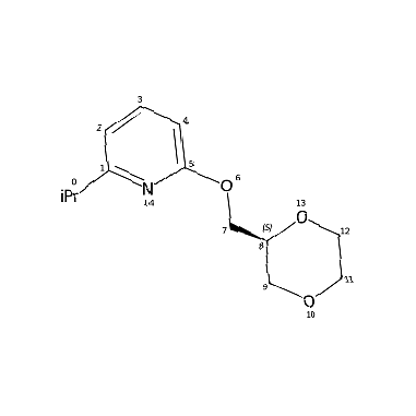 CC(C)c1cccc(OC[C@@H]2COCCO2)n1